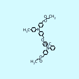 C=CC(=O)OCc1ccc(N(c2ccc(C)cc2)c2ccc(COc3ccc(N(c4ccc(COC(=O)C=C)cc4)c4ccccc4C)cc3)cc2)cc1